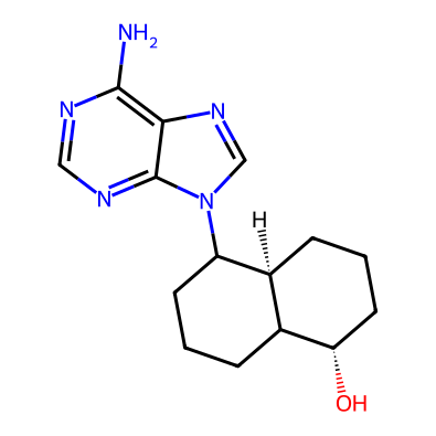 Nc1ncnc2c1ncn2C1CCCC2[C@@H]1CCC[C@@H]2O